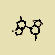 Fc1cc(-c2cc(F)cc3[nH]cnc23)c2[nH]cnc2c1